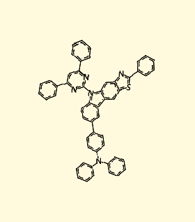 c1ccc(-c2cc(-c3ccccc3)nc(-n3c4ccc(-c5ccc(N(c6ccccc6)c6ccccc6)cc5)cc4c4cc5sc(-c6ccccc6)nc5cc43)n2)cc1